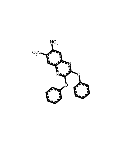 O=[N+]([O-])c1cc2nc(Oc3ccccc3)c(Oc3ccccc3)nc2cc1[N+](=O)[O-]